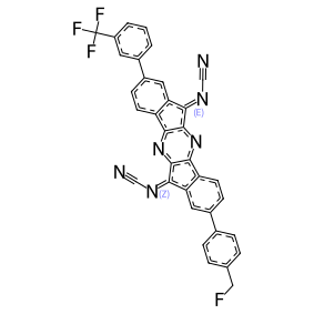 N#C/N=c1/c2cc(-c3ccc(CF)cc3)ccc2c2nc3/c(=N/C#N)c4cc(-c5cccc(C(F)(F)F)c5)ccc4c3nc12